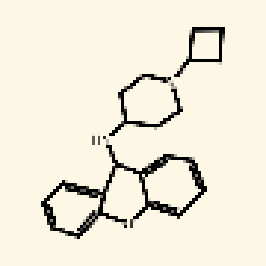 c1ccc2c(c1)Oc1ccccc1C2NC1CCN(C2CCC2)CC1